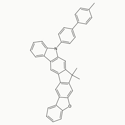 Cc1ccc(-c2ccc(-n3c4ccccc4c4cc5c(cc43)C(C)(C)c3cc4oc6ccccc6c4cc3-5)cc2)cc1